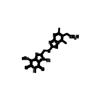 CCCCn1c(=O)[nH]c(=O)c2c1nc(CSc1nc3nc(C)c(CC(=O)O)c(C)n3n1)n2CC